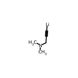 [Li][C]#CCN(C)C